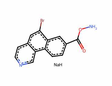 NOC(=O)c1ccc2c(c1)c(Br)cc1ccncc12.[NaH]